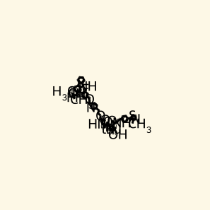 Cc1ncsc1-c1ccc(CNC(=O)[C@@H]2C[C@@H](O)CN2C(=O)[C@@H](NC(=O)COCCc2ccc(COc3cc(F)c([C@@H]4c5[nH]c6ccccc6c5C[C@@H](C)N4CC(C)(C)F)c(F)c3)nc2)C(C)(C)C)cc1